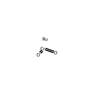 [O]=[Cr]=[O].[Ru]